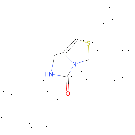 O=C1NCC2=CSCN12